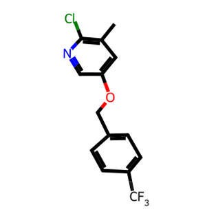 Cc1cc(OCc2ccc(C(F)(F)F)cc2)cnc1Cl